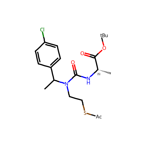 CC(=O)SCCN(C(=O)N[C@@H](C)C(=O)OC(C)(C)C)C(C)c1ccc(Cl)cc1